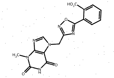 Cn1c(=O)[nH]c(=O)c2c1ncn2Cc1noc(-c2ccccc2C(=O)O)n1